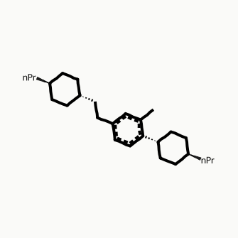 CCC[C@H]1CC[C@H](CCc2ccc([C@H]3CC[C@H](CCC)CC3)c(C)c2)CC1